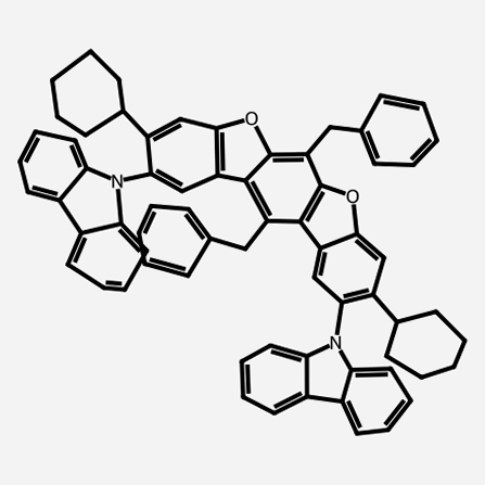 c1ccc(Cc2c3oc4cc(C5CCCCC5)c(-n5c6ccccc6c6ccccc65)cc4c3c(Cc3ccccc3)c3c2oc2cc(C4CCCCC4)c(-n4c5ccccc5c5ccccc54)cc23)cc1